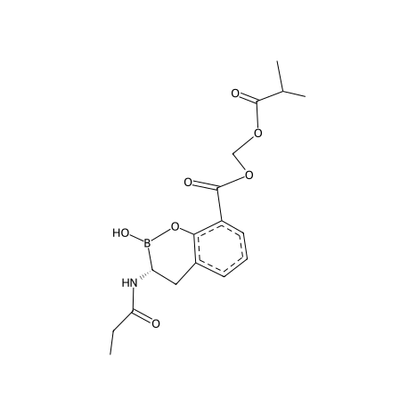 CCC(=O)N[C@H]1Cc2cccc(C(=O)OCOC(=O)C(C)C)c2OB1O